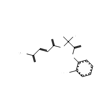 CCC(Br)(OC(=O)C=CC(=O)OC)C(=O)Oc1ccccc1C=O